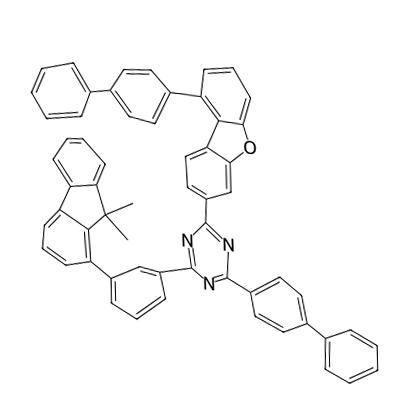 CC1(C)c2ccccc2-c2cccc(-c3cccc(-c4nc(-c5ccc(-c6ccccc6)cc5)nc(-c5ccc6c(c5)oc5cccc(-c7ccc(-c8ccccc8)cc7)c56)n4)c3)c21